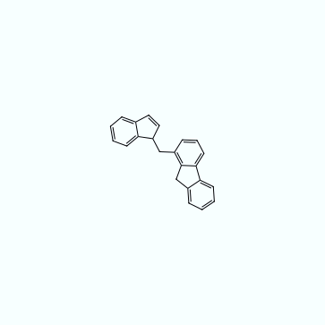 C1=CC(Cc2cccc3c2Cc2ccccc2-3)c2ccccc21